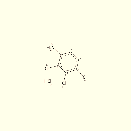 Cl.Nc1ccc(Cl)c(Cl)c1Cl